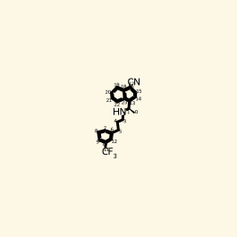 C[C@@H](NCCCc1cccc(C(F)(F)F)c1)c1ccc(C#N)c2ccccc12